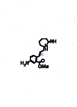 COC(=O)c1cc(N)ccc1/C=C/CC1CCCCC(=N)N1